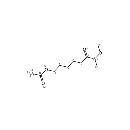 CON(C)C(=O)CCCCCOC(N)=O